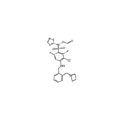 O=CON(c1ncns1)S(=O)(=O)c1c(F)cc(NCc2ccccc2CN2CCC2)c(Cl)c1F